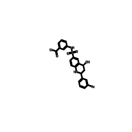 CCC(=O)c1cccc(NS(=O)(=O)c2ccc3c(c2)[C@@H](O)CC(c2cccc(C(C)=O)c2)N3)c1